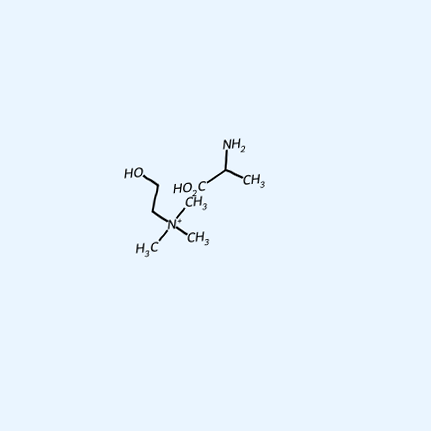 CC(N)C(=O)O.C[N+](C)(C)CCO